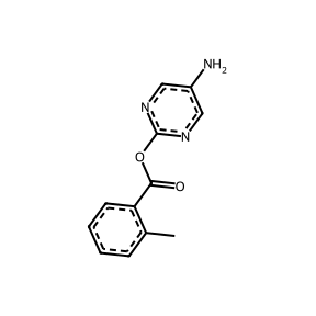 Cc1ccccc1C(=O)Oc1ncc(N)cn1